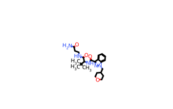 CC(C)(C)C(NC(=O)c1nn(CC2CCOCC2)c2ccccc12)C(=O)NCCC(N)=O